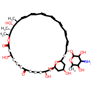 CC1OC(O[C@H]2/C=C/C=C/C=C/C=C/C=C/C=C/C=C/[C@H](C)[C@@H](O)[C@@H](C)[C@H](C)OC(=O)C[C@H](O)CCCC(=O)CCC[C@H](O)C[C@]3(O)C[C@H](O)CC(C2)O3)C(O)C(N)C1O